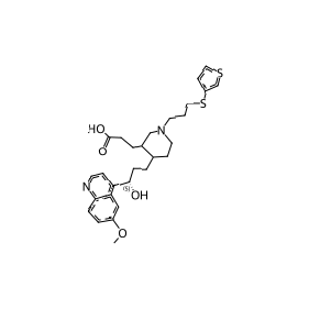 COc1ccc2nccc([C@@H](O)CCC3CCN(CCCSc4ccsc4)CC3CCC(=O)O)c2c1